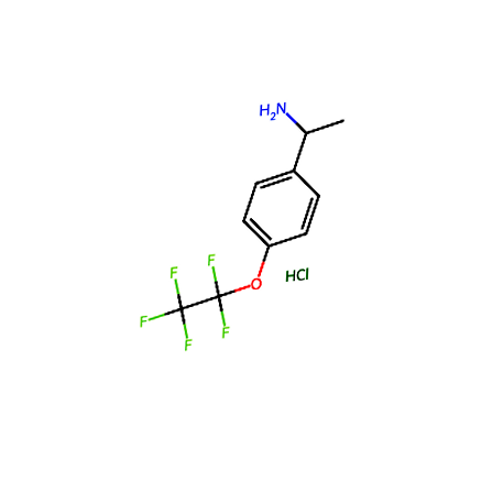 CC(N)c1ccc(OC(F)(F)C(F)(F)F)cc1.Cl